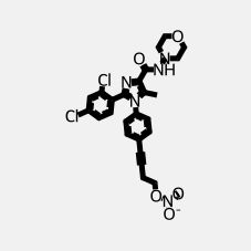 Cc1c(C(=O)NN2CCOCC2)nc(-c2ccc(Cl)cc2Cl)n1-c1ccc(C#CCCO[N+](=O)[O-])cc1